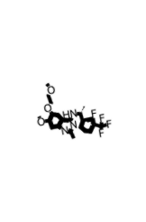 COCCOc1cc2c(N[C@H](C)c3cccc(C(F)(F)F)c3F)nc(C)nc2cc1OC